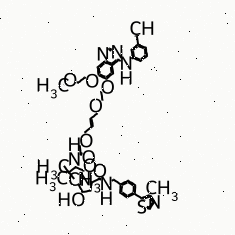 C#Cc1cccc(Nc2ncnc3cc(OCCOC)c(OCCOCC=CCOCC(=O)N[C@H](C(=O)N4C[C@H](O)CC4C(=O)NCc4ccc(-c5scnc5C)cc4)C(C)(C)C)cc23)c1